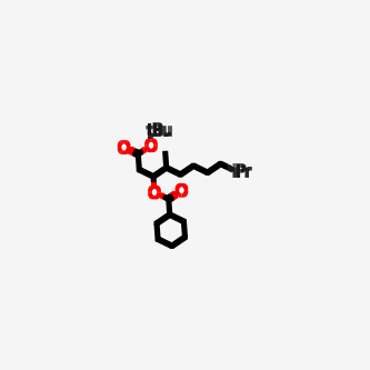 CC(C)CCCCC(C)C(CC(=O)OC(C)(C)C)OC(=O)C1CCCCC1